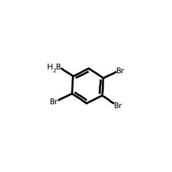 Bc1cc(Br)c(Br)cc1Br